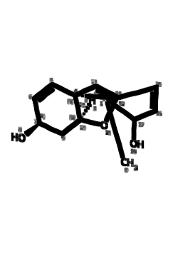 CN1CC[C@@]23C=C[C@H](O)C[C@@H]2OC2C3=C(C=CC2O)C1